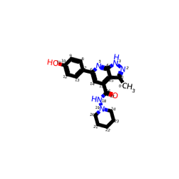 Cc1n[nH]c2nc(-c3ccc(O)cc3)cc(C(=O)NN3CCCCC3)c12